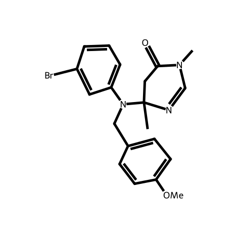 COc1ccc(CN(c2cccc(Br)c2)C2(C)CC(=O)N(C)C=N2)cc1